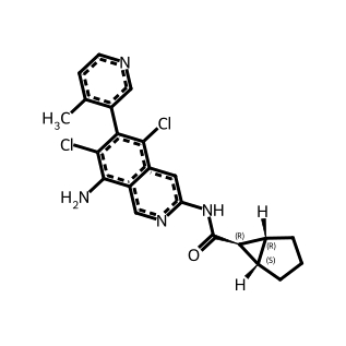 Cc1ccncc1-c1c(Cl)c(N)c2cnc(NC(=O)[C@H]3[C@@H]4CCC[C@@H]43)cc2c1Cl